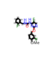 COc1ccc(COc2ncc(F)c(NC(=O)NCc3ccccc3F)n2)cc1F